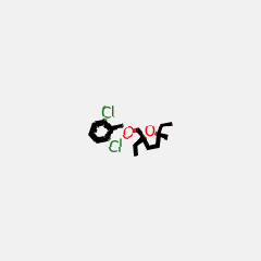 CCC1(C)CCC(CC)(COCc2c(Cl)cccc2Cl)O1